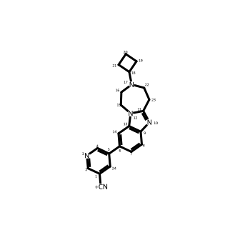 N#Cc1cncc(-c2ccc3nc4n(c3c2)CCN(C2CCC2)CC4)c1